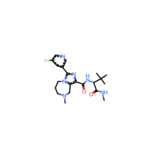 CNC(=O)[C@@H](NC(=O)c1nc(-c2cncc(F)c2)n2c1CN(C)CCC2)C(C)(C)C